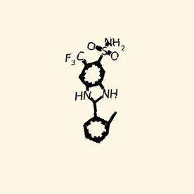 Cc1ccccc1C1Nc2cc(C(F)(F)F)c(S(N)(=O)=O)cc2N1